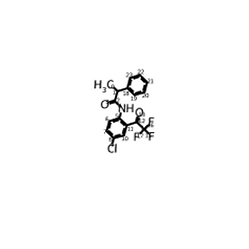 CC(C(=O)Nc1ccc(Cl)cc1C(=O)C(F)(F)F)c1ccccc1